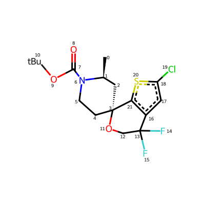 C[C@H]1C[C@@]2(CCN1C(=O)OC(C)(C)C)OCC(F)(F)c1cc(Cl)sc12